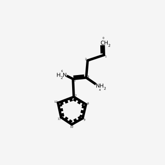 C=CCC(N)=C(N)c1ccccc1